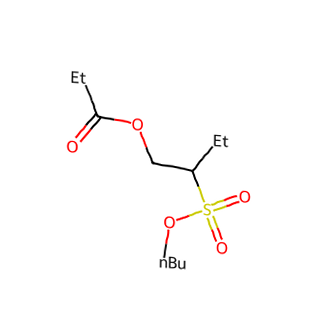 CCCCOS(=O)(=O)C(CC)COC(=O)CC